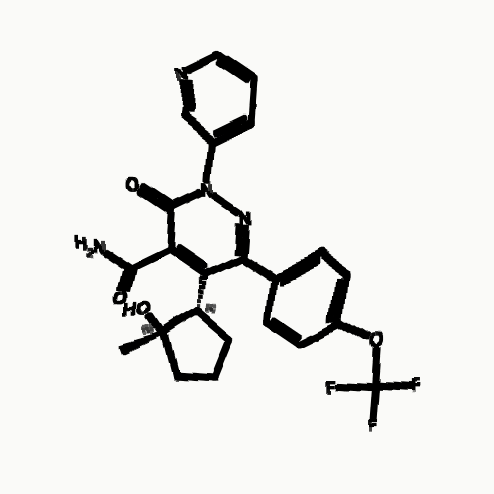 C[C@]1(O)CCC[C@H]1c1c(-c2ccc(OC(F)(F)F)cc2)nn(-c2cccnc2)c(=O)c1C(N)=O